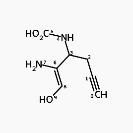 C#CCC(NC(=O)O)C(N)=CO